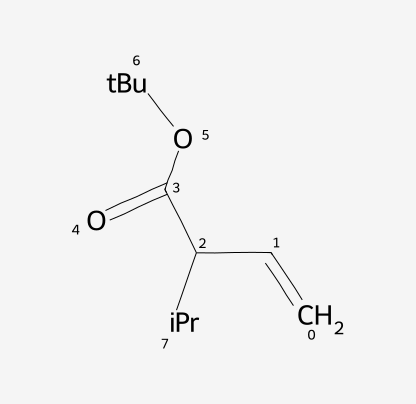 C=CC(C(=O)OC(C)(C)C)C(C)C